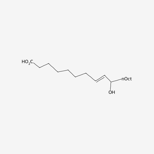 CCCCCCCCC(O)C=CCCCCCCC(=O)O